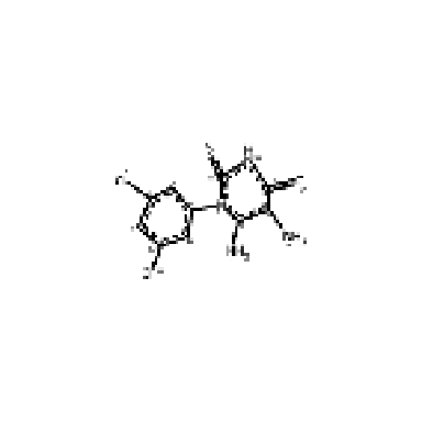 Nc1c(N)n(-c2cc(Cl)cc(Cl)c2)c(=S)[nH]c1=O